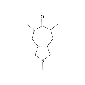 CC1CC2CN(C)CC2CN(C)C1=O